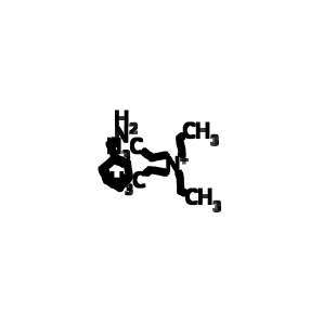 CCC[N+](CCC)(CCC)CCC.NCc1ccccc1